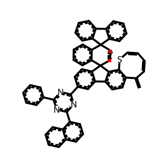 C=C1/C=C\C=C/Sc2c1ccc1c2C2(c3ccc(-c4nc(-c5ccccc5)nc(-c5cccc6ccccc56)n4)cc3-1)c1ccccc1C1(c3ccccc3-c3ccccc31)c1ccccc12